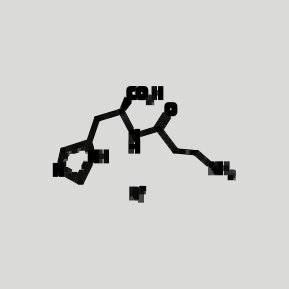 NCCC(=O)N[C@@H](Cc1cnc[nH]1)C(=O)O.[Rf]